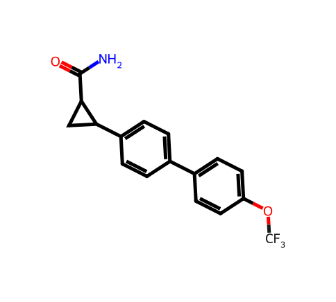 NC(=O)C1CC1c1ccc(-c2ccc(OC(F)(F)F)cc2)cc1